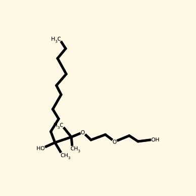 CCCCCCCCCC(C)(O)C(C)(C)OCCOCCO